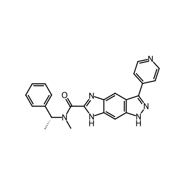 C[C@H](c1ccccc1)N(C)C(=O)c1nc2cc3c(-c4ccncc4)n[nH]c3cc2[nH]1